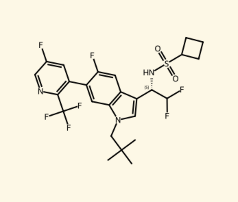 CC(C)(C)Cn1cc([C@H](NS(=O)(=O)C2CCC2)C(F)F)c2cc(F)c(-c3cc(F)cnc3C(F)(F)F)cc21